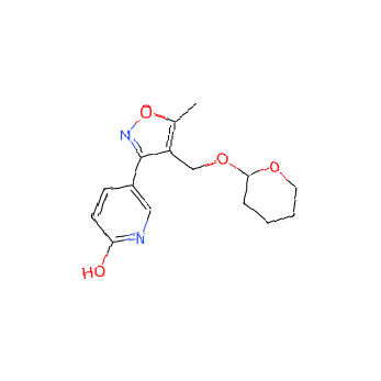 Cc1onc(-c2ccc(O)nc2)c1COC1CCCCO1